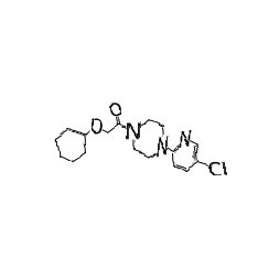 O=C(COC1CCCCC1)N1CCN(c2ccc(Cl)cn2)CC1